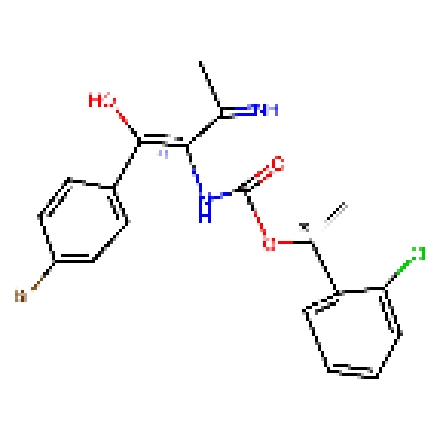 CC(=N)/C(NC(=O)O[C@H](C)c1ccccc1Cl)=C(\O)c1ccc(Br)cc1